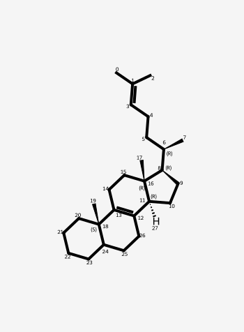 CC(C)=CCC[C@@H](C)[C@H]1CC[C@H]2C3=C(CC[C@]12C)[C@@]1(C)CCCCC1CC3